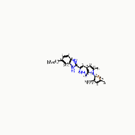 COc1ccc2nc(/C(N)=C/c3cc(C)n(-c4sc(C)cc4C#N)c3C)[nH]c2c1